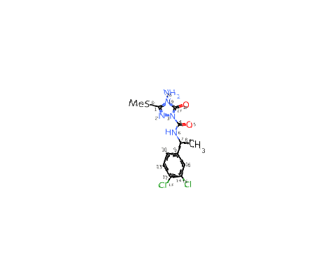 CSc1nn(C(=O)NC(C)c2ccc(Cl)c(Cl)c2)c(=O)n1N